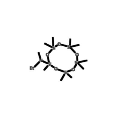 CCN(C)[Si]1(C)O[Si](C)(C)O[Si](C)(C)O[Si](C)(C)O[Si](C)(C)O1